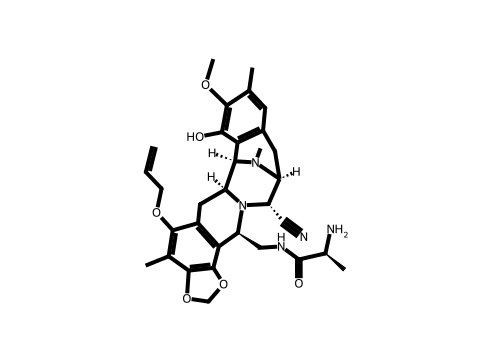 C=CCOc1c(C)c2c(c3c1C[C@H]1[C@H]4c5c(cc(C)c(OC)c5O)C[C@@H]([C@H](C#N)N1[C@H]3CNC(=O)[C@H](C)N)N4C)OCO2